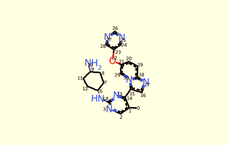 Cc1cnc(N[C@H]2CC[C@H](N)CC2)nc1-c1cnc2ccc(Oc3cncnc3)cn12